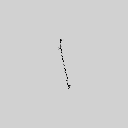 O=C(CCCCCCCCCCCCCCCCCCC1CO1)OCC1CO1